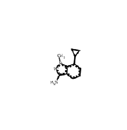 Cn1nc(N)c2cccc(C3CC3)c21